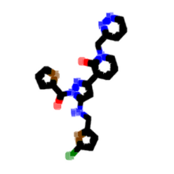 O=C(c1cccs1)n1nc(-c2cccn(Cc3cccnn3)c2=O)cc1NCc1ccc(Cl)s1